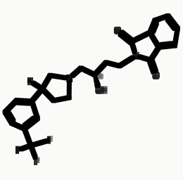 O=C1c2ccccc2C(=O)N1CC[C@@H](O)CN1CCC(F)(c2cccc(C(F)(F)F)c2)C1